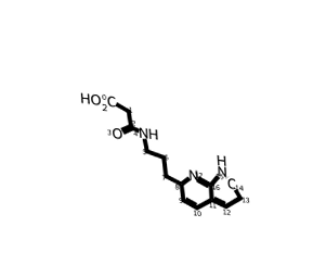 O=C(O)CC(=O)NCCCC1C=CC2=CCCNC2=N1